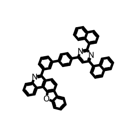 c1cc(-c2ccc(-c3cc(-c4cccc5ccccc45)nc(-c4cccc5ccccc45)n3)cc2)cc(-c2nc3ccccc3c3c2ccc2c4ccccc4oc23)c1